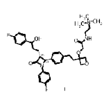 C[N+](C)(C)CCNC(=O)COC1(CCc2ccc([C@@H]3[C@@H](CCC(O)c4ccc(F)cc4)C(=O)N3c3ccc(F)cc3)cc2)COC1.[I-]